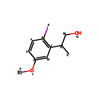 CCOc1ccc(I)c([C](C)CO)c1